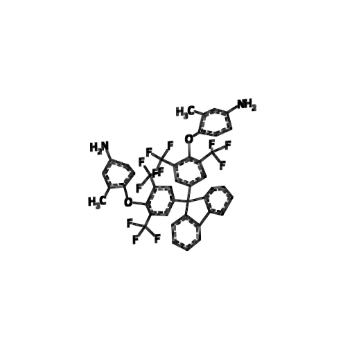 Cc1cc(N)ccc1Oc1c(C(F)(F)F)cc(C2(c3cc(C(F)(F)F)c(Oc4ccc(N)cc4C)c(C(F)(F)F)c3)c3ccccc3-c3ccccc32)cc1C(F)(F)F